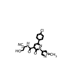 Cn1cc(-n2nc(-c3ccc(Cl)cc3)cc(C(=O)N[C@@H](C#N)CO)c2=O)cn1